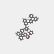 c1ccc(-c2ccccc2N(c2ccc3c(c2)C(c2ccccc2)(c2ccccc2)c2ccccc2-3)c2ccc3c(c2)oc2c(-c4ccc5c6ccccc6c6ccccc6c5c4)c4ccccc4cc23)cc1